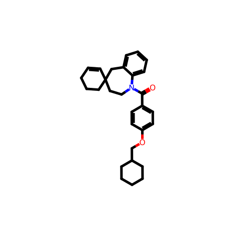 O=C(c1ccc(OCC2CCCCC2)cc1)N1CCC2(C=CCCC2)Cc2ccccc21